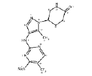 CNc1nc(Nc2cnn(C3CCC(=O)NC3)c2C)ncc1C(F)(F)F